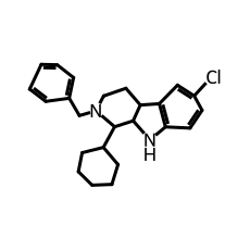 Clc1ccc2c(c1)C1CCN(Cc3ccccc3)C(C3CCCCC3)C1N2